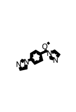 COC(c1ccc(-n2ccnc2)cc1)n1ccnc1